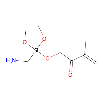 C=C(C)C(=O)CO[Si](CN)(OC)OC